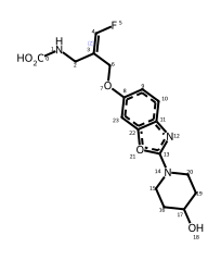 O=C(O)NC/C(=C/F)COc1ccc2nc(N3CCC(O)CC3)oc2c1